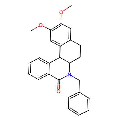 COc1cc2c(cc1OC)C1c3ccccc3C(=O)N(Cc3ccccc3)C1CC2